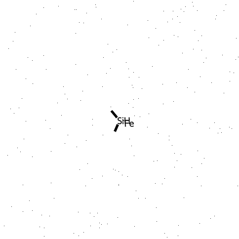 C[SiH]C.[Fe]